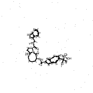 O=C(N[C@H]1CCCC[C@H]2CC[C@@H](C(=O)NCc3n[nH]c4ncccc34)N2C1=O)c1cc2cc(C(F)(F)P(=O)(O)O)ccc2s1